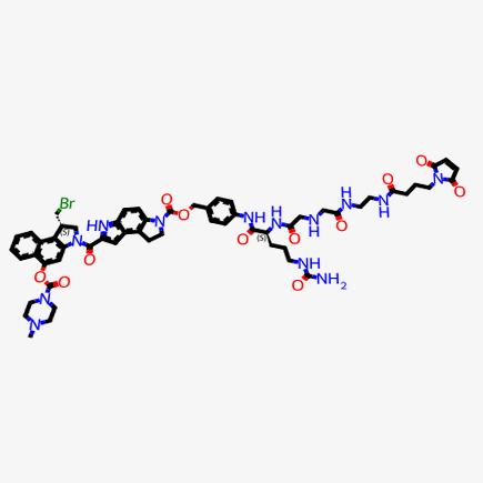 CN1CCN(C(=O)Oc2cc3c(c4ccccc24)[C@H](CBr)CN3C(=O)c2cc3c4c(ccc3[nH]2)N(C(=O)OCc2ccc(NC(=O)[C@H](CCCNC(N)=O)NC(=O)CNCC(=O)NCCNC(=O)CCCN3C(=O)C=CC3=O)cc2)CC4)CC1